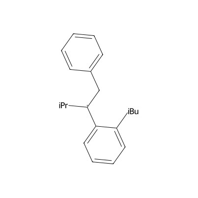 CCC(C)c1ccccc1[C](Cc1ccccc1)C(C)C